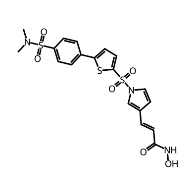 CN(C)S(=O)(=O)c1ccc(-c2ccc(S(=O)(=O)n3ccc(/C=C/C(=O)NO)c3)s2)cc1